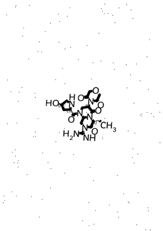 CC[C@@H]1C(=O)N(C(=N)N)CC2N(C(=O)[C@@H]3C[C@@H](O)CN3)C[C@@H](N3C(=O)COCC3=O)C(=O)N21